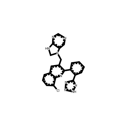 Clc1cccc2cc(CN3CNc4ncncc43)c(-c3ccccc3-c3nn[nH]n3)nc12